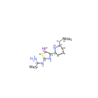 CSC(N)=Nc1nc(-c2cccc(CNC(C)=O)n2)cs1.I